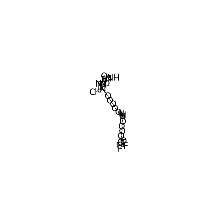 O=C(CCOCCOCCOCCOCCn1cc(COCCOCCOCCOCCOCCCCn2c(CN3C(=O)C4(CN(C(=O)c5cc[nH]n5)C4)c4ccncc43)nc3cc(Cl)ccc32)nn1)Oc1c(F)c(F)cc(F)c1F